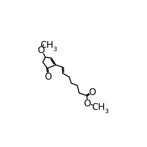 COC(=O)CCCCC=CC1=CC(OC)CC1=O